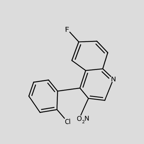 O=[N+]([O-])c1cnc2ccc(F)cc2c1-c1ccccc1Cl